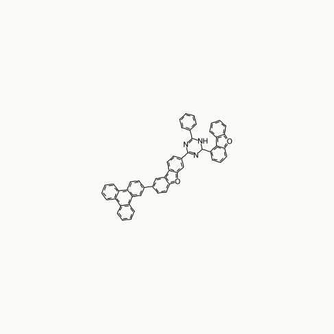 c1ccc(C2=NC(c3ccc4c(c3)oc3ccc(-c5ccc6c7ccccc7c7ccccc7c6c5)cc34)=NC(c3cccc4oc5ccccc5c34)N2)cc1